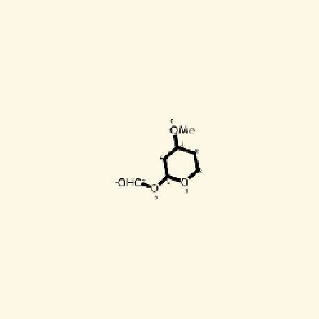 COC1CCOC(O[C]=O)C1